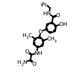 Cc1cc(NC(=O)C(N)=O)cc(C)c1Oc1ccc(O)c(C(=O)NCC(C)C)c1